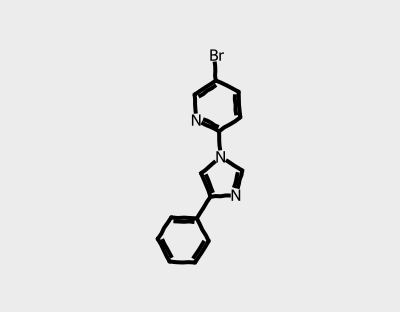 Brc1ccc(-n2cnc(-c3ccccc3)c2)nc1